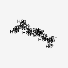 Nc1c(N=Nc2ccc3cc(S(=O)(=O)O)c(N=Nc4cccc(S(=O)(=O)O)c4)c(O)c3c2)c(S(=O)(=O)O)cc2ccc(N=Nc3cc4c(O)c(N=Nc5ccc(CO)cc5S(=O)(=O)O)ccc4cc3S(=O)(=O)O)c(O)c12